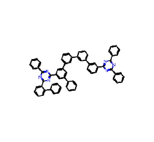 c1ccc(-c2cc(-c3cccc(-c4cccc(-c5cccc(-c6nc(-c7ccccc7)nc(-c7ccccc7)n6)c5)c4)c3)cc(-c3nc(-c4ccccc4)nc(-c4ccccc4-c4ccccc4)n3)c2)cc1